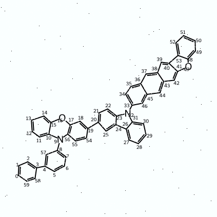 c1ccc(-c2cccc(N3c4ccccc4Oc4cc(-c5ccc6c(c5)c5ccccc5n6-c5ccc6cc7cc8c(cc7cc6c5)oc5ccccc58)ccc43)c2)cc1